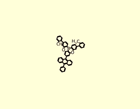 Cc1ccccc1-c1ccc2c(c1)Oc1cc(-c3c4ccccc4c(-c4ccccc4)c4ccccc34)cc3c1B2c1ccc(-c2ccccc2C)cc1O3